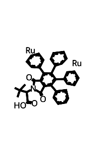 CC(C)(C)C(C(=O)O)N1C(=O)c2c(c(-c3ccccc3)c(-c3ccccc3)c(-c3ccccc3)c2-c2ccccc2)C1=O.[Ru].[Ru]